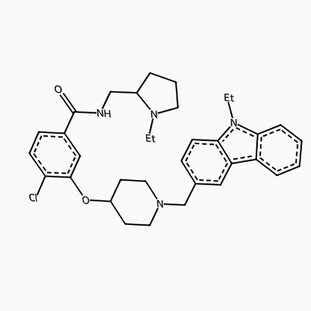 CCN1CCCC1CNC(=O)c1ccc(Cl)c(OC2CCN(Cc3ccc4c(c3)c3ccccc3n4CC)CC2)c1